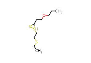 CCCOCCC1S[SH]1CCSCC